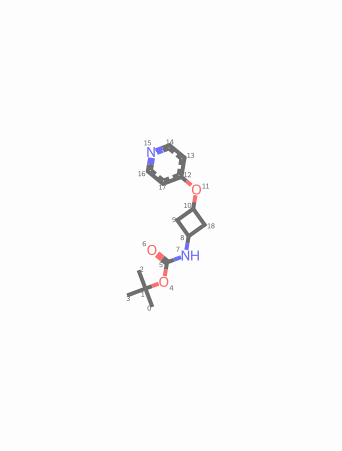 CC(C)(C)OC(=O)NC1CC(Oc2ccncc2)C1